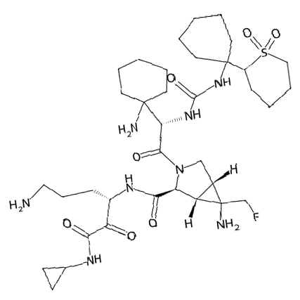 NCCC[C@H](NC(=O)[C@@H]1[C@@H]2[C@H](CN1C(=O)[C@@H](NC(=O)NC1(C3CCCCS3(=O)=O)CCCCC1)C1(N)CCCCC1)C2(N)CF)C(=O)C(=O)NC1CC1